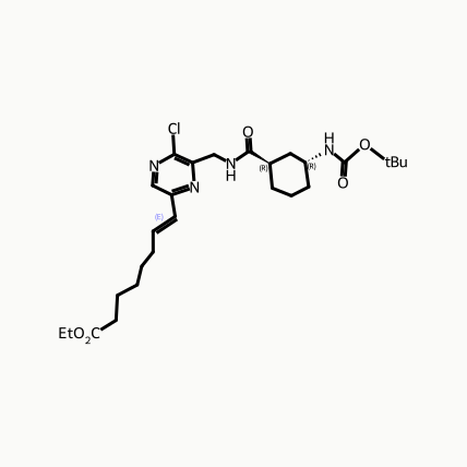 CCOC(=O)CCCCC/C=C/c1cnc(Cl)c(CNC(=O)[C@@H]2CCC[C@@H](NC(=O)OC(C)(C)C)C2)n1